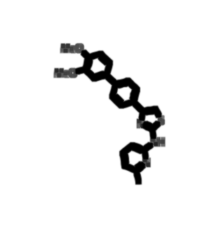 COc1ccc(-c2ccc(-c3csc(Nc4cccc(C)n4)n3)cc2)cc1OC